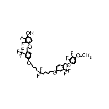 CCOc1ccc(OCc2ccc(OCCCCC(F)(F)CCCCOc3ccc(COc4ccc(O)c(F)c4F)c(C(F)(F)F)c3)cc2C(F)(F)F)c(F)c1F